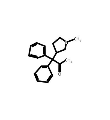 CC(=O)C(c1ccccc1)(c1ccccc1)C1CCN(C)C1